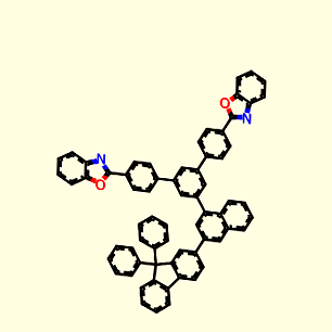 c1ccc(C2(c3ccccc3)c3ccccc3-c3ccc(-c4cc(-c5cc(-c6ccc(-c7nc8ccccc8o7)cc6)cc(-c6ccc(-c7nc8ccccc8o7)cc6)c5)c5ccccc5c4)cc32)cc1